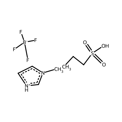 CCCS(=O)(=O)O.Cn1cc[nH+]c1.F[B-](F)(F)F